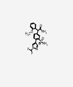 COc1ccccc1C(C(N)=O)c1ccc(-c2cnn(C(F)F)c2)c(S(N)(=O)=O)c1